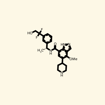 COc1c(C2CCNCC2)cc(C(=O)N[C@H](C)c2cccc(C(F)(F)CO)c2)c2[nH]ncc12